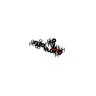 N#Cc1cnc(NCc2ccccc2OC(F)(F)F)nc1NCC12CC3C[C@H](C1)C(NCCN1CCC(CN4CCN(c5cc6c(cc5F)C(=O)N(C5CCC(=O)NC5=O)C6=O)CC4)CC1)[C@@H](C3)C2